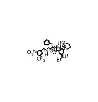 CCNc1cc(C(=O)N[C@@H](Cc2ccccc2)[C@@H](O)CNCc2cc([N+](=O)[O-])cc(C(F)(F)F)c2)cc(N2CCCCS2(O)O)c1